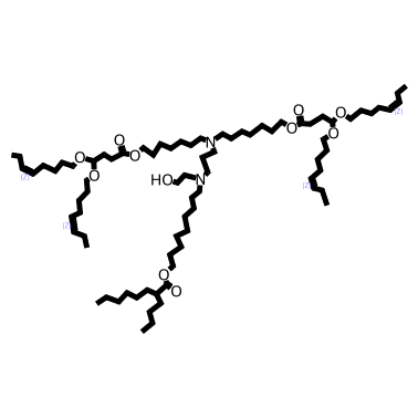 CC/C=C\CCCCOC(CCC(=O)OCCCCCCCN(CCCCCCCOC(=O)CCC(OCCCC/C=C\CC)OCCCC/C=C\CC)CCCN(CCO)CCCCCCCCCOC(=O)C(CCCC)CCCCCC)OCCCC/C=C\CC